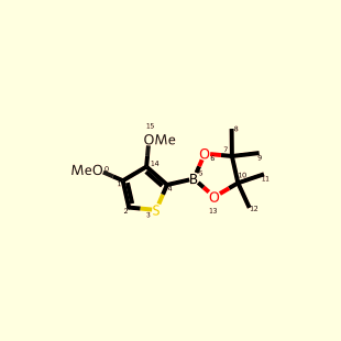 COc1csc(B2OC(C)(C)C(C)(C)O2)c1OC